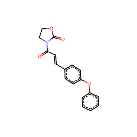 O=C(/C=C/c1ccc(Oc2ccccc2)cc1)N1CCOC1=O